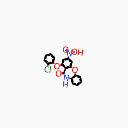 O=C1Nc2ccccc2Oc2cc([N+](=O)O)cc(Oc3ccccc3Cl)c21